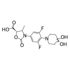 CC1[C@H](C(=O)O)OC(=O)N1c1cc(F)c(N2CCS(O)(O)CC2)c(F)c1